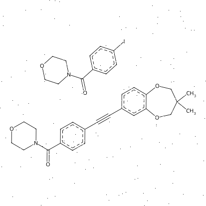 CC1(C)COc2ccc(C#Cc3ccc(C(=O)N4CCOCC4)cc3)cc2OC1.O=C(c1ccc(I)cc1)N1CCOCC1